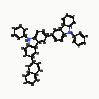 c1ccc(-n2c3ccccc3c3cc(-c4ccc5c(c4)c4cc(-c6ccc7ccccc7c6)ccc4n5-c4ccccc4)ccc32)cc1